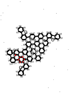 c1ccc(-c2ncc(-c3c(-c4cc(-c5ccccc5-c5ccc(-c6cccc7c6oc6ccccc67)nc5)cc(-c5ccccc5-c5ccc(-c6cccc7c6oc6ccccc67)nc5)c4)cccc3-c3cc(-c4ccccc4-c4ccc(-c5cccc6c5oc5ccccc56)nc4)cc(-c4ccccc4-c4ccc(-c5cccc6c5oc5ccccc56)nc4)c3)cn2)cc1